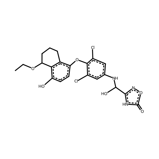 CCOC1CCCc2c(Oc3c(Cl)cc(NC(O)c4noc(=O)[nH]4)cc3Cl)ccc(O)c21